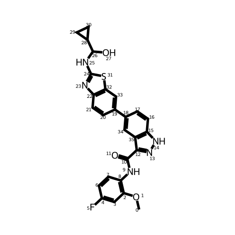 COc1cc(F)ccc1NC(=O)c1n[nH]c2ccc(-c3ccc4nc(NC(O)C5CC5)sc4c3)cc12